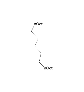 C[CH]CCCCCCCCCCCCCCCCCCC